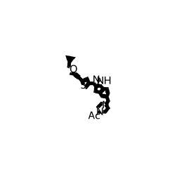 CC(=O)N1CCN(Cc2ccc3c(c2)Cc2c(-c4csc(C#CCOCC5CC5)c4)n[nH]c2-3)CC1